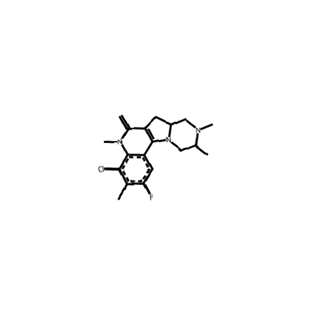 C=C1C2=C(c3cc(F)c(C)c(Cl)c3N1C)N1CC(C)N(C)CC1C2